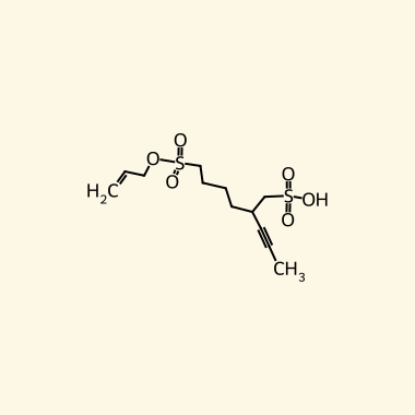 C=CCOS(=O)(=O)CCCCC(C#CC)CS(=O)(=O)O